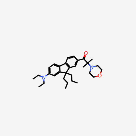 CCCC1(CCC)c2cc(C(=O)C(C)(C)N3CCOCC3)ccc2-c2ccc(N(CC)CC)cc21